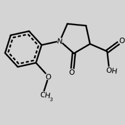 COc1ccccc1N1CCC(C(=O)O)C1=O